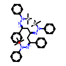 C[Si](C)(C)N(N=C(C/C(=N\N(c1ccccc1)[Si](C)(C)C)c1ccccc1)C/C(=N\N(c1ccccc1)[Si](C)(C)C)c1ccccc1)c1ccccc1